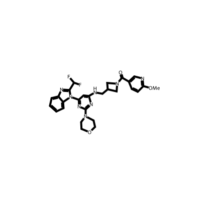 COc1ccc(C(=O)N2CC(CNc3cc(-n4c(C(F)F)nc5ccccc54)nc(N4CCOCC4)n3)C2)cn1